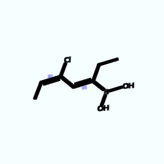 C/C=C(Cl)\C=C(/CC)B(O)O